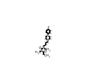 C=CC(=O)N(C)C(=O)N(N)CCCCN1CCN(c2ccc(I)cc2)CC1